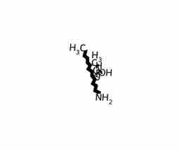 CCCCCCCCCCCCCCN.CCO[PH](=O)O